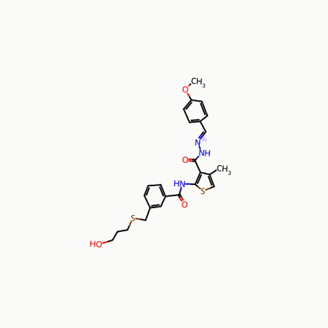 COc1ccc(/C=N/NC(=O)c2c(C)csc2NC(=O)c2cccc(CSCCCO)c2)cc1